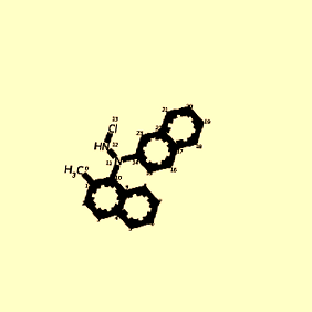 Cc1ccc2ccccc2c1N(NCl)c1ccc2ccccc2c1